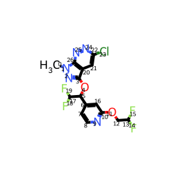 Cn1nc(OC(c2ccnc(OCC(F)F)c2)C(F)F)c2cc(Cl)nnc21